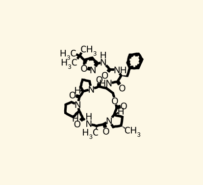 C[C@H]1C[C@H]2C(=O)OC[C@H](NC(=O)[C@H](Cc3ccccc3)NC(=O)Nc3cc(C(C)(C)C)on3)C(=O)N3CCC[C@H]3C(=O)N3CCCC[C@H]3C(=O)N[C@@H](C)C(=O)N2C1